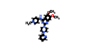 COc1cc2nc(N3CCN(c4ccccn4)CC3)nc(NC3CCN(C)CC3)c2cc1OC